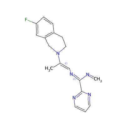 C=N/C(=N\C=C(/C)N1CCc2ccc(F)cc2C1)c1ncccn1